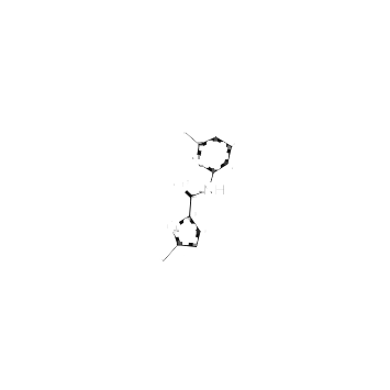 Cc1cccc(NC(=O)c2ccc(C)o2)n1